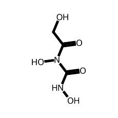 O=C(CO)N(O)C(=O)NO